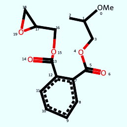 COC(C)COC(=O)c1ccccc1C(=O)OCC1CO1